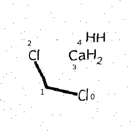 ClCCl.[CaH2].[HH]